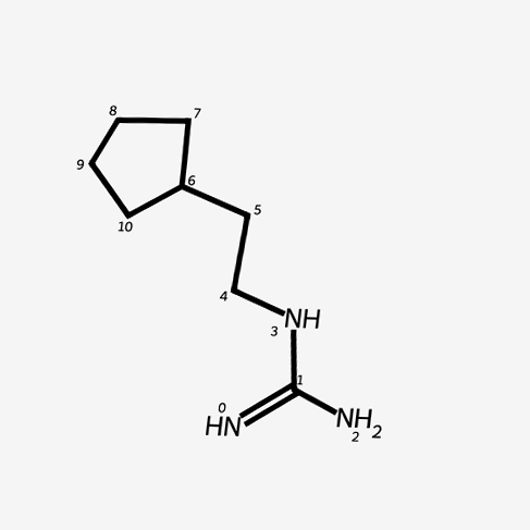 N=C(N)NCCC1CCCC1